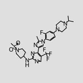 Cc1nc(-c2nc(NC3CCN(S(C)(=O)=O)CC3)ncc2C(F)(F)F)cn1-c1ccc(N2CCN(C(C)C)CC2)cc1F